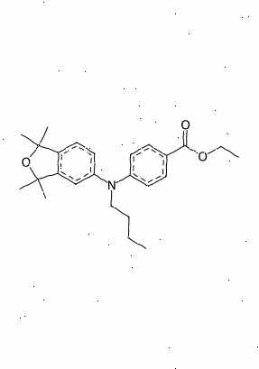 CCCCN(c1ccc(C(=O)OCC)cc1)c1ccc2c(c1)C(C)(C)OC2(C)C